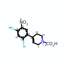 O=C(O)N1CC=C(c2cc([N+](=O)[O-])c(F)cc2F)CC1